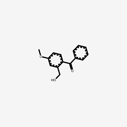 COc1ccc(C(=O)c2ccccc2)c(CO)c1